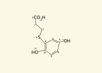 O=C(O)CCSc1cc(O)ccc1O